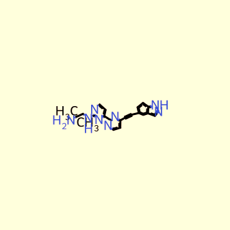 CC(C)(N)CNc1nccc(-c2nccc(C#Cc3ccc4[nH]ncc4c3)n2)n1